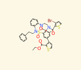 CCOC(=O)c1sccc1-c1cc(C)cc(S(=O)(=O)N(CCc2ccccc2)c2ccccc2N2CCN(C(=O)c3sccc3Br)CC2)c1